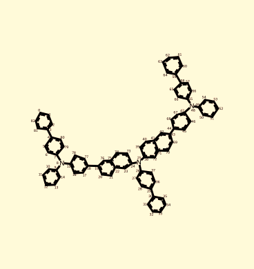 c1ccc(-c2ccc(N(c3ccccc3)c3ccc(-c4ccc5cc(N(c6ccc(-c7ccccc7)cc6)c6ccc7cc(-c8ccc(N(c9ccccc9)c9ccc(-c%10ccccc%10)cc9)cc8)ccc7c6)ccc5c4)cc3)cc2)cc1